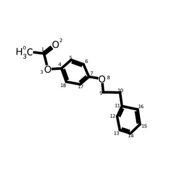 CC(=O)Oc1ccc(OCCc2ccccc2)cc1